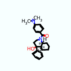 CN(C)c1ccc(C(=O)N2CCC(O)(c3ccccc3)[C@H]3CCCC[C@H]32)cc1